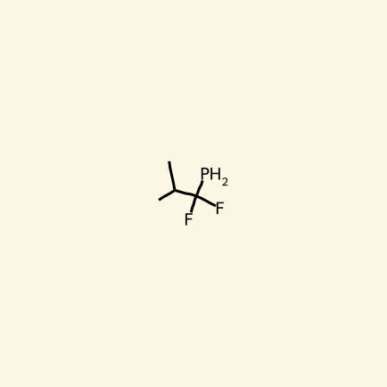 CC(C)C(F)(F)P